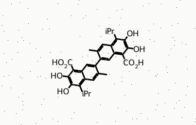 Cc1cc2c(C(C)C)c(O)c(O)c(C(=O)O)c2cc1-c1cc2c(C(=O)O)c(O)c(O)c(C(C)C)c2cc1C